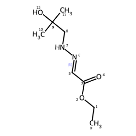 CCOC(=O)/C=N/NCC(C)(C)O